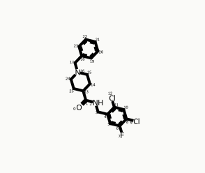 O=C(NCc1cc(F)c(Cl)cc1Cl)C1CCN(Cc2ccccc2)CC1